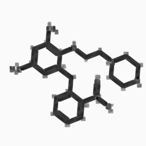 Cc1cc(C)c(OCCN2CCOCC2)c(Cc2ccccc2[N+](=O)[O-])c1